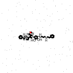 Nc1ncnc2c1c(-c1ccn(S(=O)(=O)c3ccccc3)n1)cn2[C@@H]1C[C@H](CNCCCNCCc2ccccc2)[C@@H](O)[C@H]1O